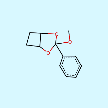 COC1(c2ccccc2)OC2CCC2O1